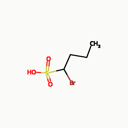 CCCC(Br)S(=O)(=O)O